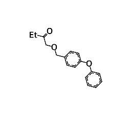 CCC(=O)COCc1ccc(Oc2ccccc2)cc1